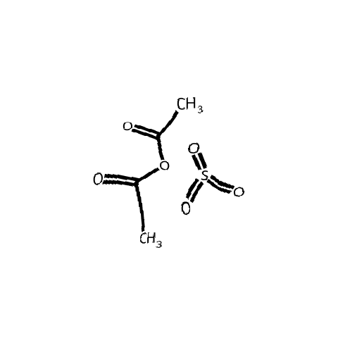 CC(=O)OC(C)=O.O=S(=O)=O